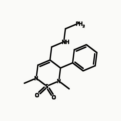 CN1C=C(CNCP)C(c2ccccc2)N(C)S1(=O)=O